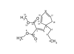 CCCC1(C=C(C(=O)OC)C(=O)OC)C=CC=CC1